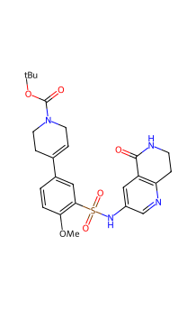 COc1ccc(C2=CCN(C(=O)OC(C)(C)C)CC2)cc1S(=O)(=O)Nc1cnc2c(c1)C(=O)NCC2